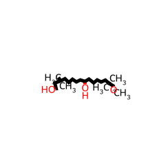 COCC(C)(C)CCCCCC(O)CCCCCC(C)(C)CCO